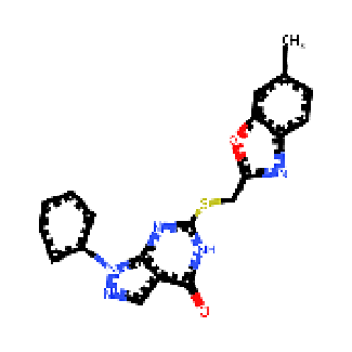 Cc1ccc2nc(CSc3nc4c(cnn4-c4ccccc4)c(=O)[nH]3)oc2c1